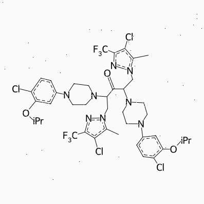 Cc1c(Cl)c(C(F)(F)F)nn1CC(C(=O)C(Cn1nc(C(F)(F)F)c(Cl)c1C)N1CCN(c2ccc(Cl)c(OC(C)C)c2)CC1)N1CCN(c2ccc(Cl)c(OC(C)C)c2)CC1